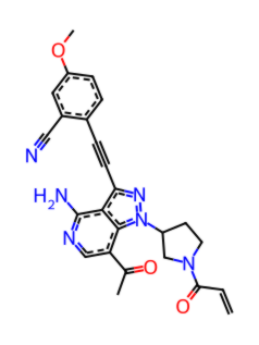 C=CC(=O)N1CCC(n2nc(C#Cc3ccc(OC)cc3C#N)c3c(N)ncc(C(C)=O)c32)C1